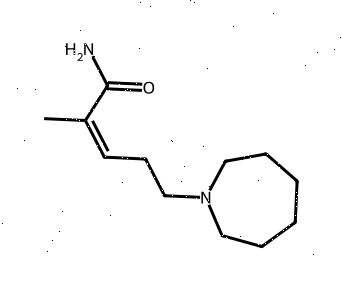 CC(=CCCN1CCCCCC1)C(N)=O